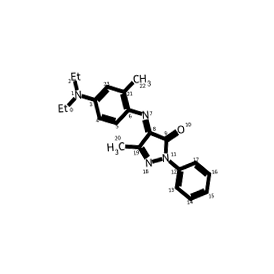 CCN(CC)c1ccc(N=C2C(=O)N(c3ccccc3)N=C2C)c(C)c1